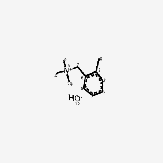 Cc1ccccc1C[N+](C)(C)C.[OH-]